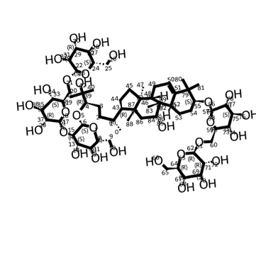 C[C@H](CC[C@@H](O[C@@H]1O[C@H](CO)[C@@H](O)[C@H](O)[C@H]1O[C@@H]1O[C@H](CO[C@H]2O[C@@H](CO)[C@H](O)[C@@H](O)[C@@H]2O)[C@@H](O)[C@H](O)[C@H]1O)C(C)(C)O)[C@H]1CC[C@@]2(C)[C@@H]3CC=C4[C@@H](CC[C@H](O[C@@H]5O[C@H](CO[C@@H]6O[C@H](CO)[C@@H](O)[C@H](O)[C@H]6O)[C@@H](O)[C@H](O)[C@H]5O)C4(C)C)[C@]3(C)[C@H](O)C[C@]12C